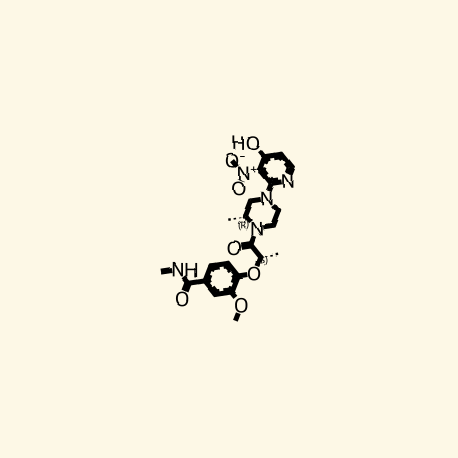 CNC(=O)c1ccc(O[C@@H](C)C(=O)N2CCN(c3nccc(O)c3[N+](=O)[O-])C[C@H]2C)c(OC)c1